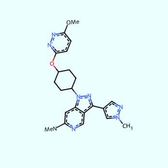 CNc1cc2c(cn1)c(-c1cnn(C)c1)nn2C1CCC(Oc2ccc(OC)nn2)CC1